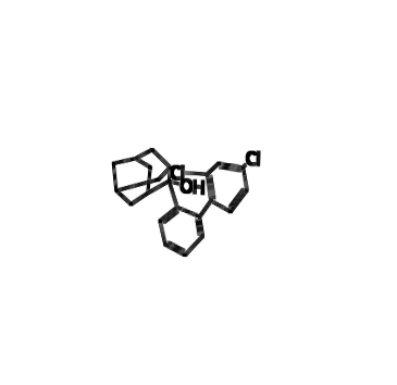 OC1(c2ccccc2-c2ccc(Cl)cc2Cl)C2CC3CC(C2)CC1C3